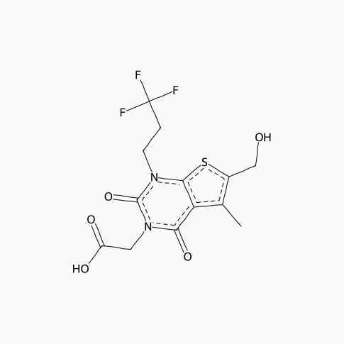 Cc1c(CO)sc2c1c(=O)n(CC(=O)O)c(=O)n2CCC(F)(F)F